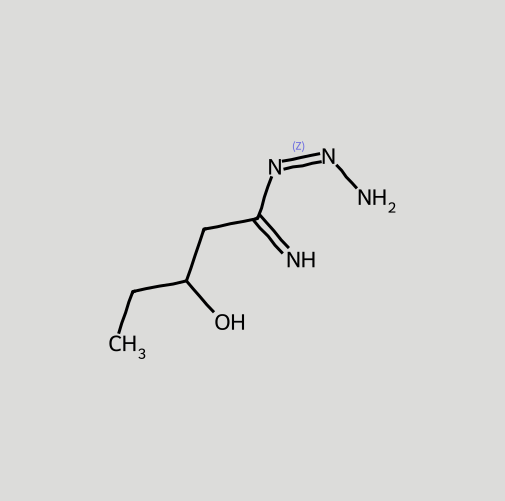 CCC(O)CC(=N)/N=N\N